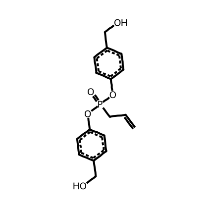 C=CCP(=O)(Oc1ccc(CO)cc1)Oc1ccc(CO)cc1